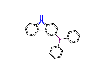 c1ccc(P(c2ccccc2)c2ccc3[nH]c4ccccc4c3c2)cc1